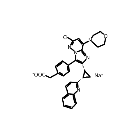 O=C([O-])Cc1ccc(-c2c([C@@H]3C[C@@H]3c3ccc4ccccc4n3)nc3c(N4CCOCC4)cc(Cl)nn23)cc1.[Na+]